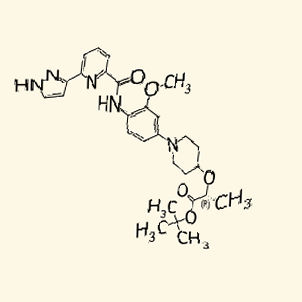 COc1cc(N2CCC(O[C@H](C)C(=O)OC(C)(C)C)CC2)ccc1NC(=O)c1cccc(-c2cc[nH]n2)n1